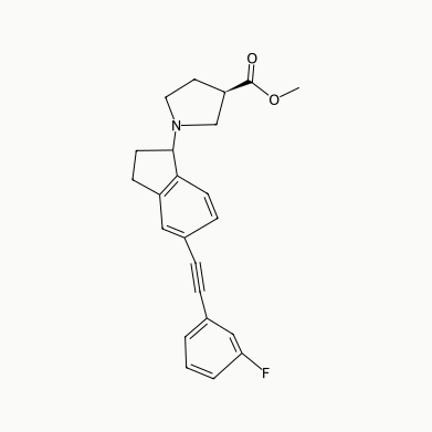 COC(=O)[C@@H]1CCN(C2CCc3cc(C#Cc4cccc(F)c4)ccc32)C1